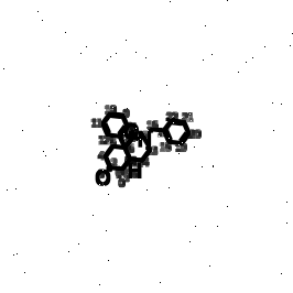 C[C@@H]1C(=O)CCC2(c3ccccc3)C(=O)N(Cc3ccccc3)CC[C@@H]12